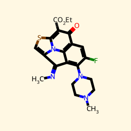 CCOC(=O)c1c(=O)c2cc(F)c(N3CCN(C)CC3)c3c(=NC)c4csc1n4c23